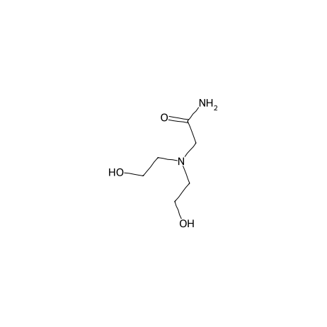 NC(=O)CN(CCO)CCO